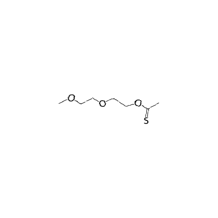 COCCOCCOC(C)=S